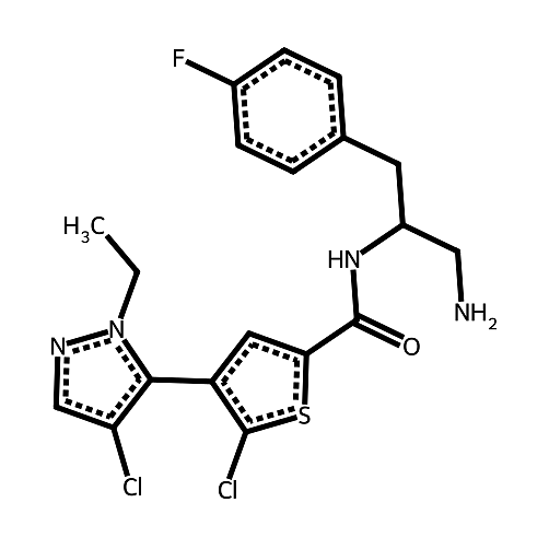 CCn1ncc(Cl)c1-c1cc(C(=O)NC(CN)Cc2ccc(F)cc2)sc1Cl